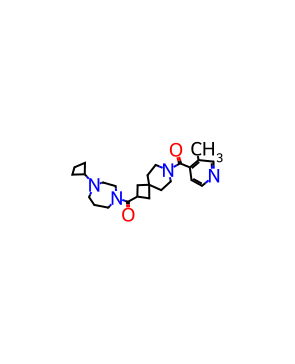 Cc1cnccc1C(=O)N1CCC2(CC1)CC(C(=O)N1CCCN(C3CCC3)CC1)C2